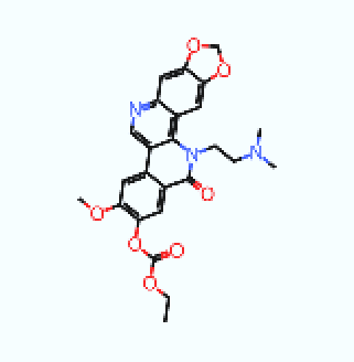 CCOC(=O)Oc1cc2c(=O)n(CCN(C)C)c3c4cc5c(cc4ncc3c2cc1OC)OCO5